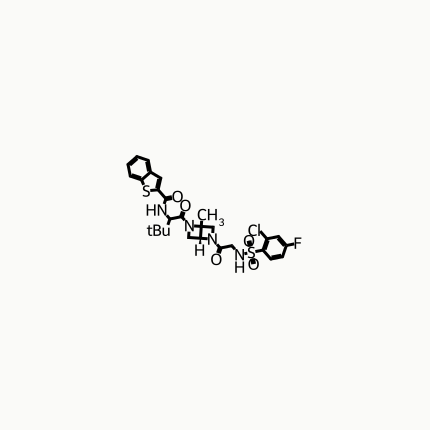 CC(C)(C)C(NC(=O)c1cc2ccccc2s1)C(=O)N1C[C@H]2N(C(=O)CNS(=O)(=O)c3ccc(F)cc3Cl)CC21C